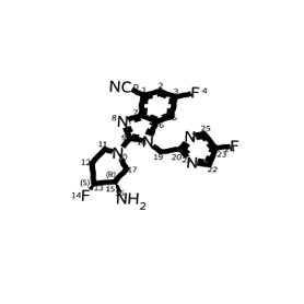 N#Cc1cc(F)cc2c1nc(N1CC[C@H](F)[C@H](N)C1)n2Cc1ncc(F)cn1